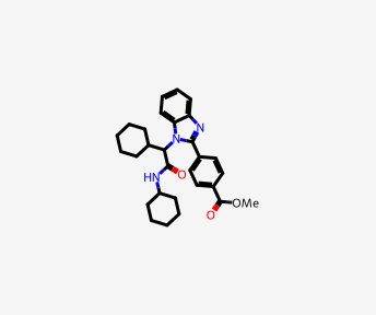 COC(=O)c1ccc(-c2nc3ccccc3n2C(C(=O)NC2CCCCC2)C2CCCCC2)cc1